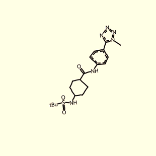 Cn1nnnc1-c1ccc(NC(=O)C2CCC(NS(=O)(=O)C(C)(C)C)CC2)cc1